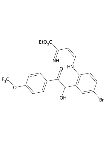 CCOC(=O)C(=N)/C=C\Nc1ccc(Br)cc1C(O)C(=O)c1ccc(OC(F)(F)F)cc1